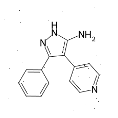 Nc1[nH]nc(-c2ccccc2)c1-c1ccncc1